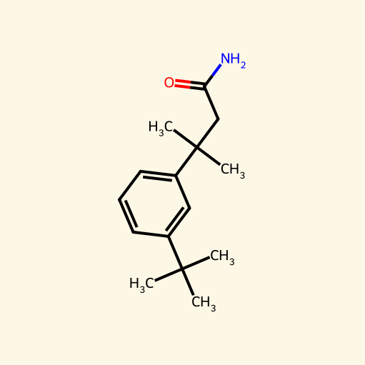 CC(C)(C)c1cccc(C(C)(C)CC(N)=O)c1